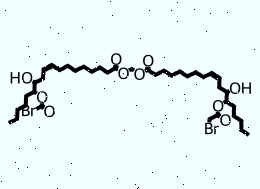 CCCCCC(OC(=O)Br)C(O)C/C=C\CCCCCCCC(=O)OCOC(=O)CCCCCCC/C=C\CC(O)C(CCCCC)OC(=O)CBr